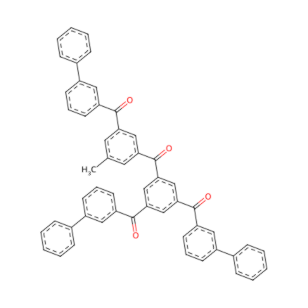 Cc1cc(C(=O)c2cc(C(=O)c3cccc(-c4ccccc4)c3)cc(C(=O)c3cccc(-c4ccccc4)c3)c2)cc(C(=O)c2cccc(-c3ccccc3)c2)c1